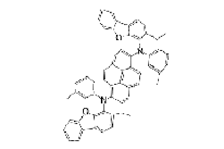 CCc1ccc2c(oc3ccccc32)c1N(c1cccc(C)c1)c1ccc2ccc3c(N(c4cccc(C)c4)c4c(CC)ccc5c4oc4ccccc45)ccc4ccc1c2c43